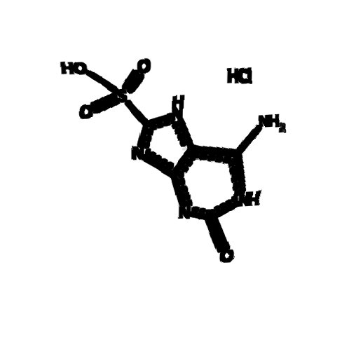 Cl.Nc1[nH]c(=O)nc2nc(S(=O)(=O)O)[nH]c12